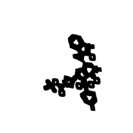 Cc1ccc(S(=O)(=O)n2c(C3CN(C(=O)OC(C)(C)C)C3)cc3c([C@@H]4C[C@@]45C(=O)N(C)c4ccccc45)cn(C)c(=O)c32)cc1